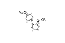 COc1ccc(-c2cc[c]cc2OC(F)(F)F)cc1